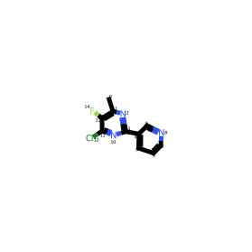 Cc1nc(-c2cccnc2)nc(Cl)c1F